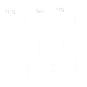 CC(=N)SCc1cccc2cccc(CSC(=N)N)c12